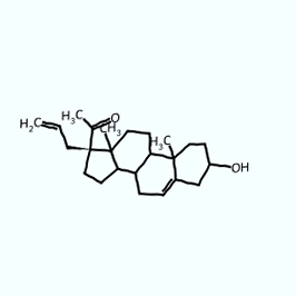 C=CC[C@]1(C(C)=O)CCC2C3CC=C4CC(O)CCC4(C)C3CCC21C